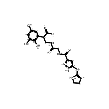 O=C(CNC(=O)c1cc(NC2=NCCN2)[nH]n1)NCC(C(=O)O)c1cc(Cl)cc(Cl)c1O